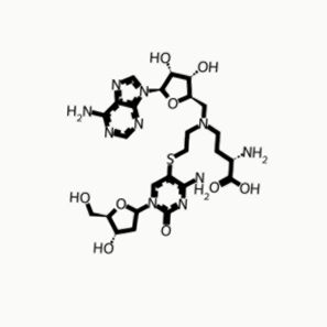 Nc1nc(=O)n(C2C[C@H](O)[C@@H](CO)O2)cc1SCCN(CC[C@H](N)C(=O)O)C[C@H]1O[C@@H](n2cnc3c(N)ncnc32)[C@H](O)[C@@H]1O